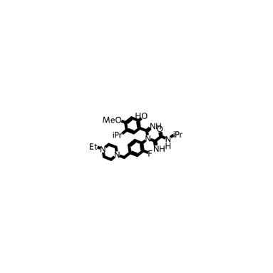 CCN1CCN(Cc2ccc(N(C(=N)C(=O)NC(C)C)C(=N)c3cc(C(C)C)c(OC)cc3O)c(F)c2)CC1